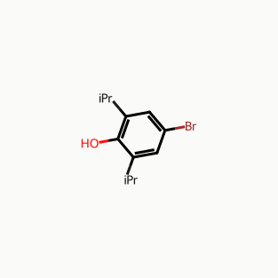 CC(C)c1cc(Br)cc(C(C)C)c1O